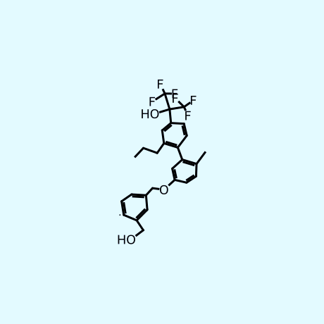 CCCc1cc(C(O)(C(F)(F)F)C(F)(F)F)ccc1-c1cc(OCc2cc[c]c(CO)c2)ccc1C